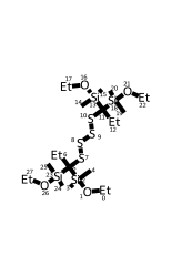 CCO[Si](C)(C)C(CC)(SSSSC(CC)([Si](C)(C)OCC)[Si](C)(C)OCC)[Si](C)(C)OCC